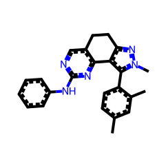 Cc1ccc(-c2c3c(nn2C)CCc2cnc(Nc4ccccc4)nc2-3)c(C)c1